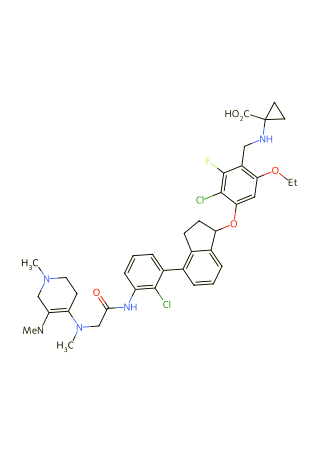 CCOc1cc(OC2CCc3c(-c4cccc(NC(=O)CN(C)C5=C(NC)CN(C)CC5)c4Cl)cccc32)c(Cl)c(F)c1CNC1(C(=O)O)CC1